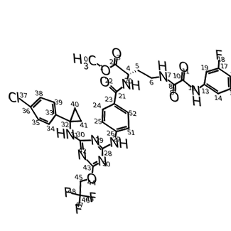 COC(=O)[C@H](CCNC(=O)C(=O)Nc1cccc(F)c1)NC(=O)c1ccc(Nc2nc(NC3(c4ccc(Cl)cc4)CC3)nc(OCC(F)(F)F)n2)cc1